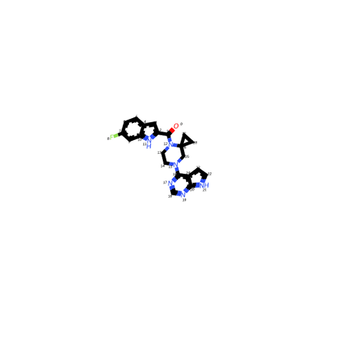 O=C(c1cc2ccc(F)cc2[nH]1)N1CCN(c2ncnc3[nH]ccc23)CC12CC2